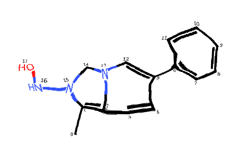 CC1=C2C=CC(c3ccccc3)=CN2CN1NO